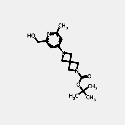 Cc1cc(N2CC3(CN(C(=O)OC(C)(C)C)C3)C2)cc(CO)n1